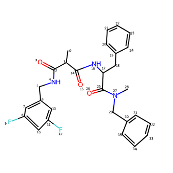 CC(C(=O)NCc1cc(F)cc(F)c1)C(=O)NC(Cc1ccccc1)C(=O)N(C)Cc1ccccc1